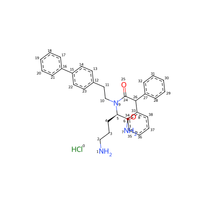 Cl.NCCC[C@H](C(N)=O)N(CCc1ccc(-c2ccccc2)cc1)C(=O)C(c1ccccc1)c1ccccc1